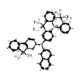 CC1(C)C2=C(C=CC(N(c3ccc4c(c3)C(C)(C)c3cccc5c3N4c3ccccc3C5(C)C)c3ccc4ccccc4c3)C2)c2ccccc21